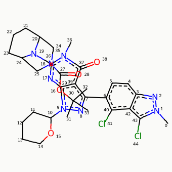 Cn1nc2ccc(-c3nn(C4CCCCO4)c4nc(N5C6CCCC5CN(C(=O)OC(C)(C)C)C6)n(C)c(=O)c34)c(Cl)c2c1Cl